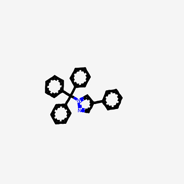 c1ccc(-c2cnn(C(c3ccccc3)(c3ccccc3)c3ccccc3)c2)cc1